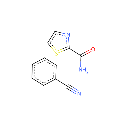 N#Cc1ccccc1.NC(=O)c1nccs1